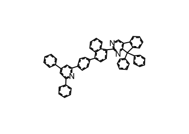 c1ccc(-c2cc(-c3ccccc3)nc(-c3ccc(-c4ccc(-c5ncc6c(n5)C(c5ccccc5)(c5ccccc5)c5ccccc5-6)c5ccccc45)cc3)c2)cc1